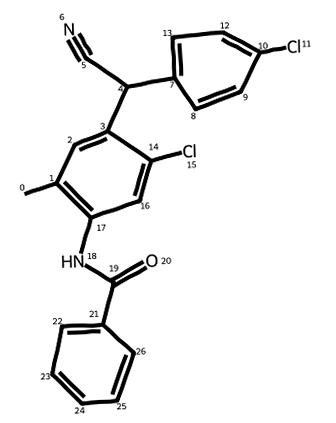 Cc1cc(C(C#N)c2ccc(Cl)cc2)c(Cl)cc1NC(=O)c1ccccc1